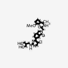 COc1cccc([C@@H](C)NC(=O)CN2Cc3ccc(-c4nc(NCC(CO)CO)ncc4Cl)cc3C2=O)c1